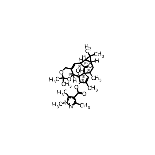 CC1=C[C@]23C(=O)[C@@H](C=C4COC(C)(C)O[C@H]4[C@]2(O)[C@H]1OC(=O)c1c(C)nn(C)c1C)[C@H]1[C@@H](C[C@H]3C)C1(C)C